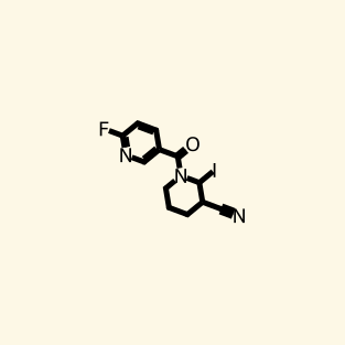 N#CC1CCCN(C(=O)c2ccc(F)nc2)C1I